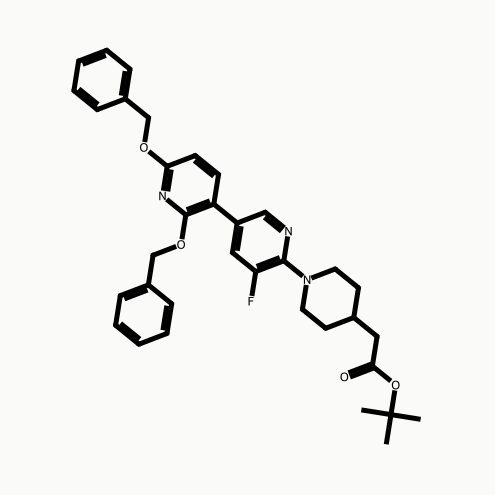 CC(C)(C)OC(=O)CC1CCN(c2ncc(-c3ccc(OCc4ccccc4)nc3OCc3ccccc3)cc2F)CC1